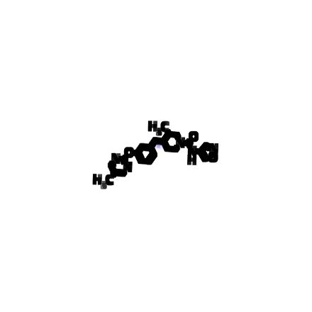 Cc1cnc(Oc2cccc(/C=C3\CCN(C(=O)Nc4cnoc4)CC3C)c2)nc1